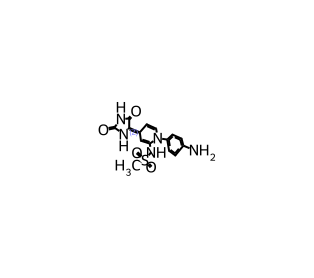 CS(=O)(=O)NC1=C/C(=C2\NC(=O)NC2=O)C=CN1c1ccc(N)cc1